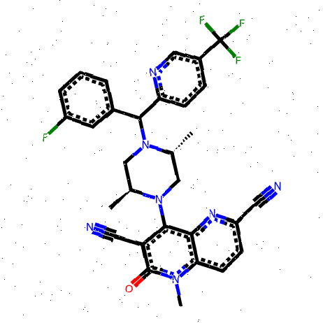 C[C@@H]1CN(c2c(C#N)c(=O)n(C)c3ccc(C#N)nc23)[C@@H](C)CN1C(c1cccc(F)c1)c1ccc(C(F)(F)F)cn1